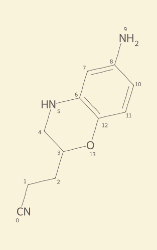 N#CCCC1CNc2cc(N)ccc2O1